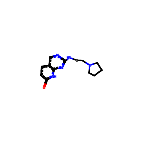 O=c1ccc2cnc(NCCN3CCCC3)nc2[nH]1